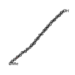 COCCOCCOCCOCCOCCOCCOCCOCCOCCOCCOCCOCCOCCOCCOCCOCCOCCOCCOCCOCCOCCOCCOCCOCCO